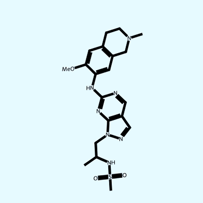 COc1cc2c(cc1Nc1ncc3cnn(CC(C)NS(C)(=O)=O)c3n1)CN(C)CC2